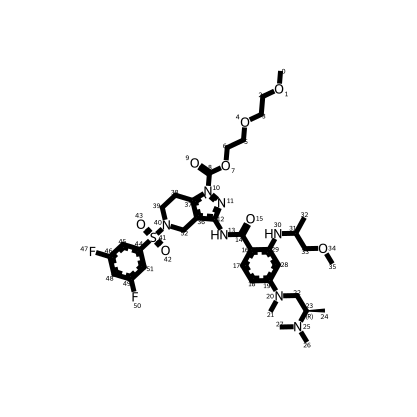 COCCOCCOC(=O)n1nc(NC(=O)c2ccc(N(C)C[C@@H](C)N(C)C)cc2NC(C)COC)c2c1CCN(S(=O)(=O)c1cc(F)cc(F)c1)C2